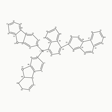 C1=CC2c3ccc(N(c4ccc5c(c4)oc4ccccc45)c4ccc(-c5ccc6c(ccc7ccccc76)c5)c5ccccc45)cc3OC2CC1